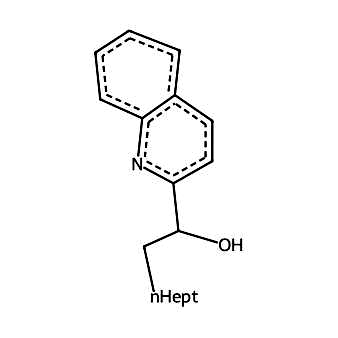 CCCCCCCCC(O)c1ccc2ccccc2n1